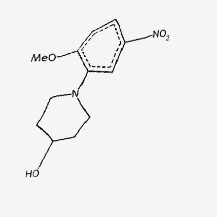 COc1ccc([N+](=O)[O-])cc1N1CCC(O)CC1